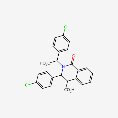 O=C(O)C1c2ccccc2C(=O)N(C(C(=O)O)c2ccc(Cl)cc2)C1c1ccc(Cl)cc1